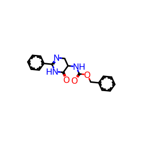 O=C(NC1CN=C(c2ccccc2)NC1=O)OCc1ccccc1